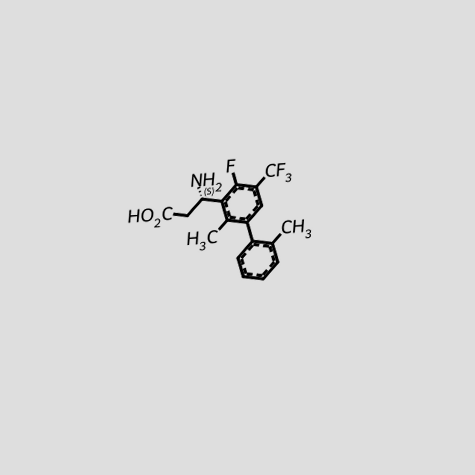 Cc1ccccc1-c1cc(C(F)(F)F)c(F)c([C@@H](N)CC(=O)O)c1C